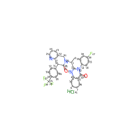 CC(c1nc2ccccc2c(=O)n1-c1ccc(F)cc1)N(Cc1cccnc1)C(=O)Cc1ccc(C(F)(F)F)cc1.Cl